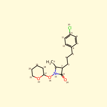 CC1C(CCCc2ccc(Cl)cc2)C(=O)N1OC1CCCCO1